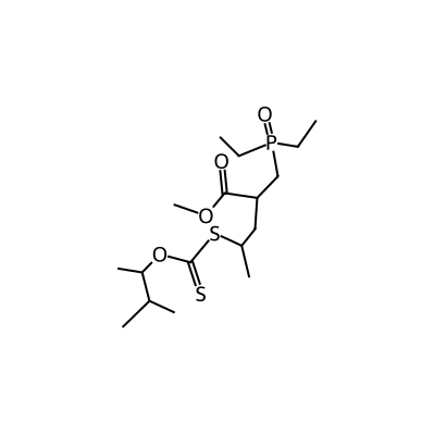 CCP(=O)(CC)CC(CC(C)SC(=S)OC(C)C(C)C)C(=O)OC